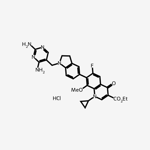 CCOC(=O)c1cn(C2CC2)c2c(OC)c(-c3ccc4c(c3)CCN4Cc3cnc(N)nc3N)c(F)cc2c1=O.Cl